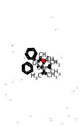 C[CH](C)[Ge]([O][Ge]([CH](C)C)([CH](C)C)[CH](C)C)([c]1ccccc1)[c]1ccccc1